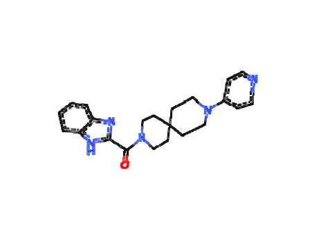 O=C(c1nc2ccccc2[nH]1)N1CCC2(CC1)CCN(c1ccncc1)CC2